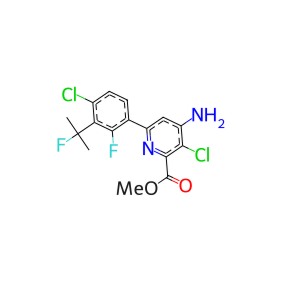 COC(=O)c1nc(-c2ccc(Cl)c(C(C)(C)F)c2F)cc(N)c1Cl